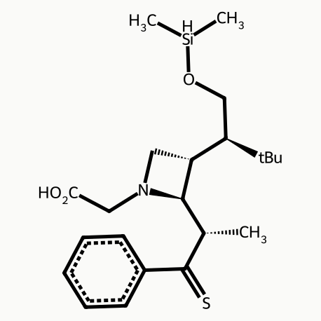 C[C@H](C(=S)c1ccccc1)[C@@H]1[C@@H]([C@@H](CO[SiH](C)C)C(C)(C)C)CN1CC(=O)O